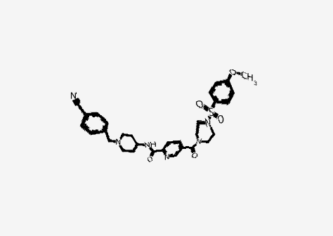 COc1ccc(S(=O)(=O)N2CCN(C(=O)c3ccc(C(=O)NC4CCN(Cc5ccc(C#N)cc5)CC4)nc3)CC2)cc1